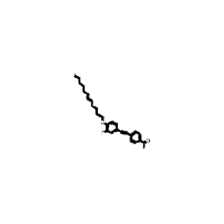 CCCCCCCCCCCCOc1ccc(C#Cc2ccc(C(C)=O)cc2)cc1F